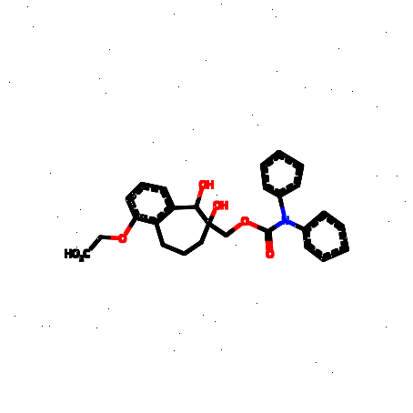 O=C(O)COc1cccc2c1CCCC(O)(COC(=O)N(c1ccccc1)c1ccccc1)C2O